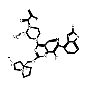 C=C(F)C(=O)N1CCN(c2nc(OC[C@@]34CCCN3C[C@H](F)C4)nc3c(F)c(-c4cccc5sc(F)cc45)ncc23)C[C@@H]1CC#N